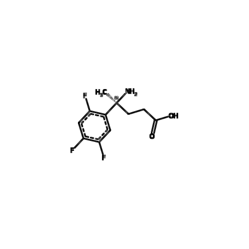 C[C@](N)(CCC(=O)O)c1cc(F)c(F)cc1F